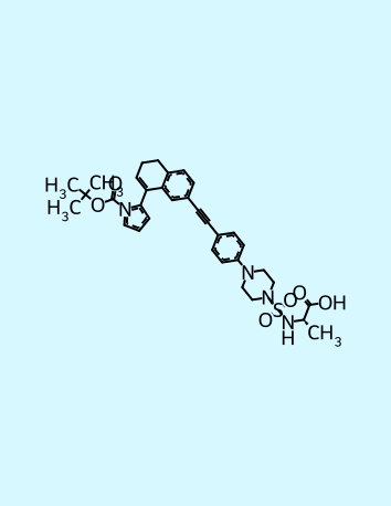 C[C@@H](NS(=O)(=O)N1CCN(c2ccc(C#Cc3ccc4c(c3)C(c3cccn3C(=O)OC(C)(C)C)=CCC4)cc2)CC1)C(=O)O